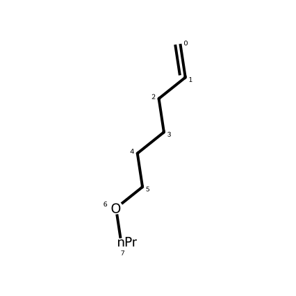 C=CCCCCOCCC